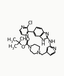 CC(C)(C)OC(=O)N1CCN(Cc2ccnc(Nc3nc4ccc(-c5nccnc5Cl)cc4[nH]3)c2)CC1